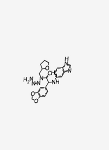 C=C(C(Nc1ccc2[nH]cnc2c1)c1ccc2c(c1)OCO2)N(CC1CCCO1)/N=N\N